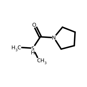 C[SH](C)C(=O)N1CCCC1